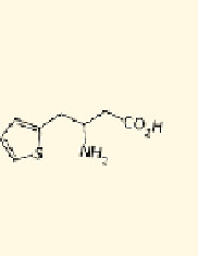 NC(CC(=O)O)Cc1cccs1